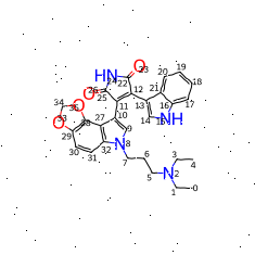 CCN(CC)CCCn1cc(C2=C(c3c[nH]c4ccccc34)C(=O)NC2=O)c2c3c(ccc21)OCO3